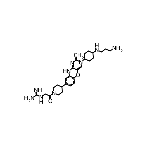 C=C1N=C2Nc3cc(C4CCN(C(=O)CNC(=N)N)CC4)ccc3OC2=CN1C1CCC(NCCCN)CC1